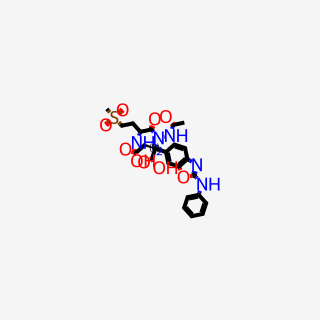 CC(=O)NN(C(=O)C(N)CCS(C)(=O)=O)[C@@](CC(=O)O)(C(=O)O)c1ccc2nc(Nc3ccccc3)oc2c1